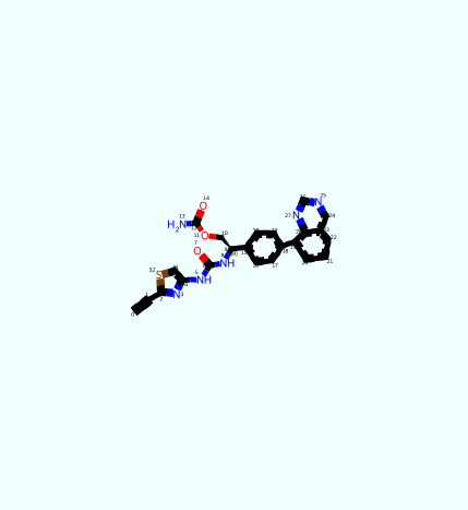 C#Cc1nc(NC(=O)N[C@@H](COC(N)=O)c2ccc(-c3cccc4cncnc34)cc2)cs1